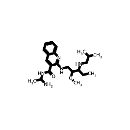 CCC(NCC(C)C)C(CNc1nc2ccccc2cc1C(=O)NC(C)N)OC